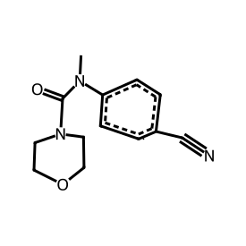 CN(C(=O)N1CCOCC1)c1c[c]c(C#N)cc1